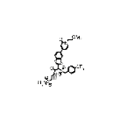 COCCn1ccc(-c2ccc3nc(C(C(=O)NCCS(N)(=O)=O)S(=O)(=O)Cc4ccc(C(F)(F)F)cc4)sc3c2)cc1=O